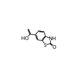 C=C(O)c1ccc2[nH]c(=O)sc2c1